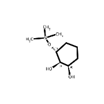 C[Si](C)(C)O[C@@H]1CCC[C@@H](O)[C@H]1O